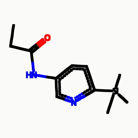 CCC(=O)Nc1ccc([Si](C)(C)C)nc1